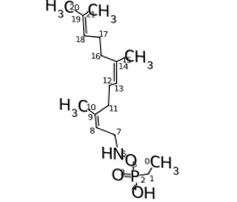 CCP(=O)(O)ONCC=C(C)CCC=C(C)CCC=C(C)C